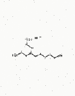 CC(C)CCCCCN(CCN)CCC(=O)O.Cl